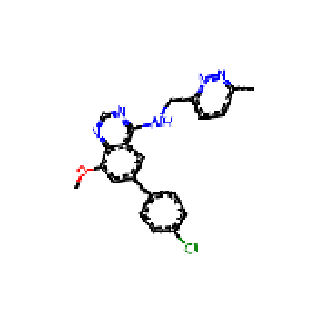 COc1cc(-c2ccc(Cl)cc2)cc2c(NCc3ccc(C)nn3)ncnc12